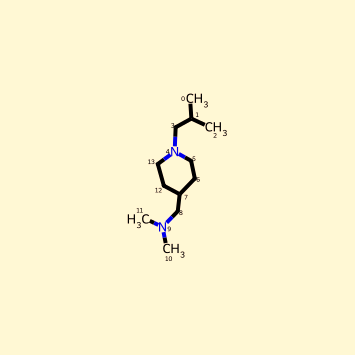 CC(C)CN1CCC(CN(C)C)CC1